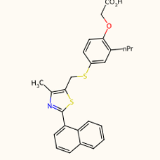 CCCc1cc(SCc2sc(-c3cccc4ccccc34)nc2C)ccc1OCC(=O)O